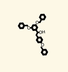 OC(Cc1ccc(OCc2ccccc2)cc1)c1cc(OCc2ccccc2)cc(OCc2ccccc2)c1